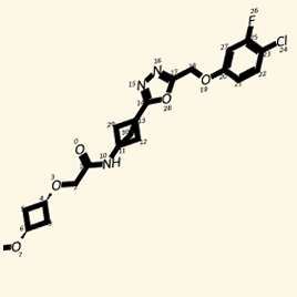 O=C(CO[C@H]1C[C@@H](OC(F)(F)F)C1)NC12CC(c3nnc(COc4ccc(Cl)c(F)c4)o3)(C1)C2